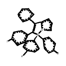 Fc1ccc(C2=C(c3ccccc3)c3ccc[o+]3[B-]2(c2ccc(F)cc2)c2ccc(F)cc2)cc1